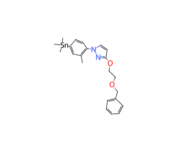 Cc1c[c]([Sn]([CH3])([CH3])[CH3])ccc1-n1ccc(OCCOCc2ccccc2)n1